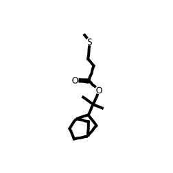 CSCCC(=O)OC(C)(C)C1CC2CCC1C2